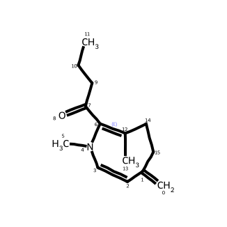 C=C1C=CN(C)/C(C(=O)CCC)=C(\C)CC1